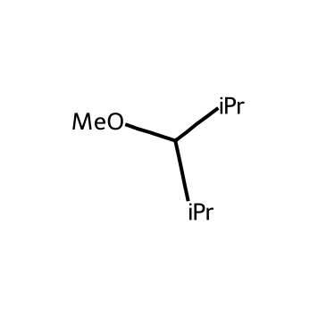 COC(C(C)C)C(C)C